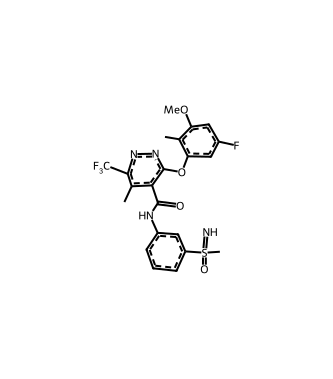 COc1cc(F)cc(Oc2nnc(C(F)(F)F)c(C)c2C(=O)Nc2cccc(S(C)(=N)=O)c2)c1C